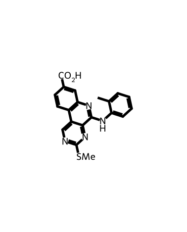 CSc1ncc2c(n1)c(Nc1ccccc1C)nc1cc(C(=O)O)ccc12